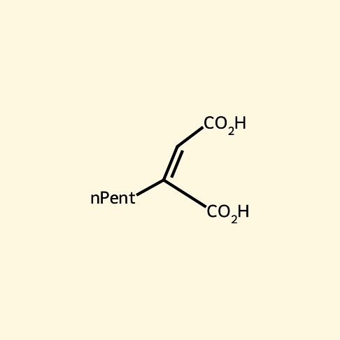 CCCCCC(=CC(=O)O)C(=O)O